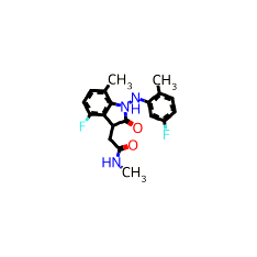 CNC(=O)CC1C(=O)N(Nc2cc(F)ccc2C)c2c(C)ccc(F)c21